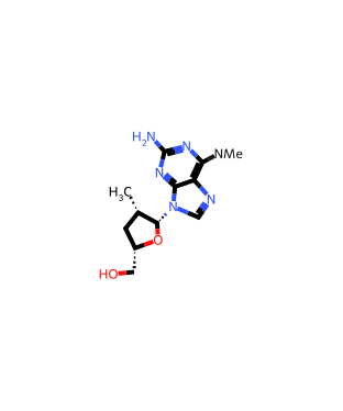 CNc1nc(N)nc2c1ncn2[C@@H]1O[C@H](CO)C[C@@H]1C